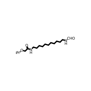 CC(C)OCC(=O)NCCCCCCCCCCCNC=O